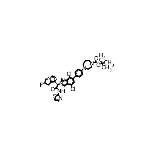 CC(C)(C)OC(=O)N1CCCN(c2ccc(-c3cc(Cl)c4cn([C@@H](C(=O)Nc5nccs5)c5ncn6c5C[C@@H](F)C6)nc4c3Cl)cc2)CC1